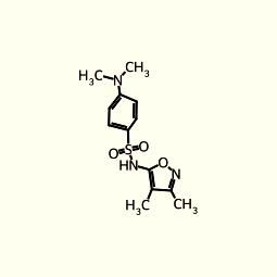 Cc1noc(NS(=O)(=O)c2ccc(N(C)C)cc2)c1C